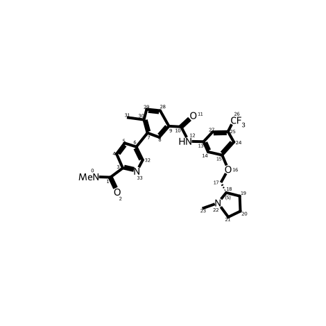 CNC(=O)c1ccc(-c2cc(C(=O)Nc3cc(OC[C@@H]4CCCN4C)cc(C(F)(F)F)c3)ccc2C)cn1